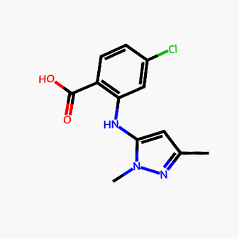 Cc1cc(Nc2cc(Cl)ccc2C(=O)O)n(C)n1